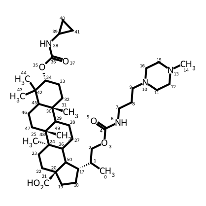 CC(COC(=O)NCCCN1CCN(C)CC1)[C@@H]1CC[C@]2(C(=O)O)CC[C@]3(C)C(CCC4[C@@]5(C)CC[C@@H](OC(=O)NC6CC6)C(C)(C)C5CC[C@]43C)C12